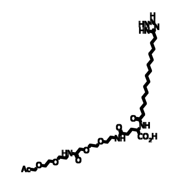 CC(=O)COCCOCCNC(=O)COCCOCCNC(=O)CCC(NC(=O)CCCCCCCCCCCCCCCC1=NNNN1)C(=O)O